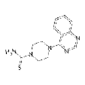 NC(=S)N1CCN(c2ncnc3ccccc23)CC1